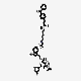 CC(C)n1cnc2c(NCCc3c[nH]c4ccc(OC(=O)/C=C/CCCCCNC(=O)CCc5ccc(C(=O)c6ccccc6)cc5)cc34)nc(-c3cncc(F)c3)nc21